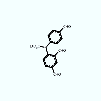 CCOC(=O)N(c1ccc(C=O)cc1)c1ccc(C=O)cc1C=O